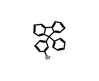 Brc1cccc(C2(c3ccccc3)c3ccccc3-c3ccccc32)c1